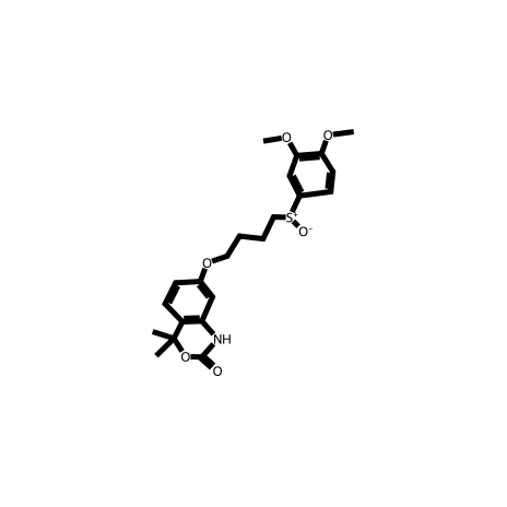 COc1ccc([S+]([O-])CCCCOc2ccc3c(c2)NC(=O)OC3(C)C)cc1OC